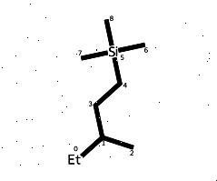 CCC(C)CC[Si](C)(C)C